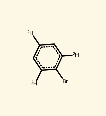 [2H]c1cc([2H])c(Br)c([2H])c1